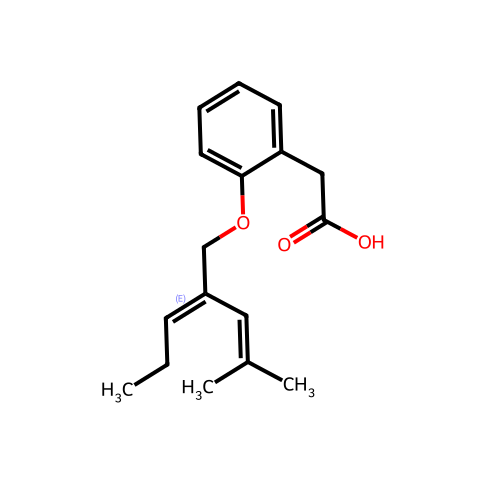 CC/C=C(\C=C(C)C)COc1ccccc1CC(=O)O